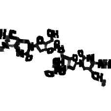 Cc1cn(C2C[C@H](O[PH](=O)S)C(CO[PH](=O)O[C@H]3CC(n4cc(C)c(N)nc4=O)OC3CO)O2)c(=O)nc1N